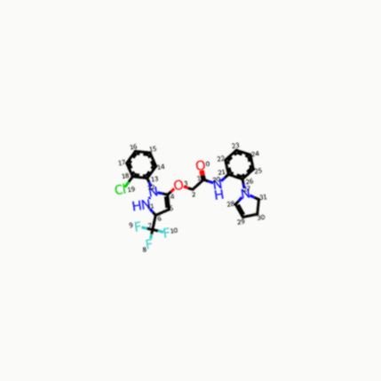 O=C(COC1=CC(C(F)(F)F)NN1c1ccccc1Cl)Nc1ccccc1N1C=CCC1